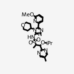 COc1cccc(-c2nnc(NS(=O)(=O)C(C)C(OC(C)C)c3ncc(C)cn3)n2C2CCOCC2)n1